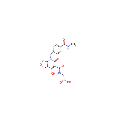 CNC(=O)c1ccc(Cn2c3c(c(O)c(C(=O)NCC(=O)O)c2=O)COC3)cc1